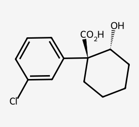 O=C(O)[C@]1(c2cccc(Cl)c2)CCCC[C@H]1O